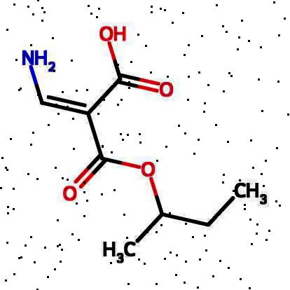 CCC(C)OC(=O)C(=CN)C(=O)O